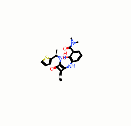 C=C=C1C(=O)C(N[C@H](C)c2cccs2)=C1Nc1cccc(C(=O)N(C)C)c1O